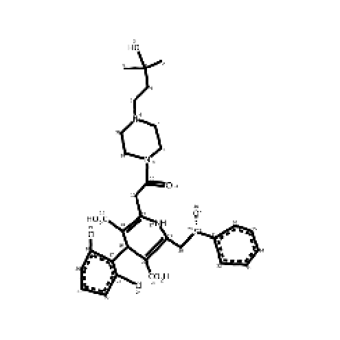 CC(C)(O)CCN1CCN(C(=O)CC2=C(C(=O)O)C(c3c(Cl)cccc3Cl)C(C(=O)O)=C(C[S@+]([O-])c3ccccc3)N2)CC1